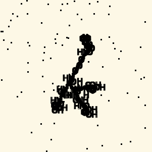 O=C(CNCCN(CCN(CCNCC(=O)NCCNC(=O)c1cccc(O)c1O)CC(=O)NCCNC(=O)c1cccc(O)c1O)CC(=O)NCCCOCCOCCOCCCNC(=O)c1cc2cc3c4c(c2oc1=O)CCCN4CCC3)NCCNC(=O)c1cccc(O)c1O